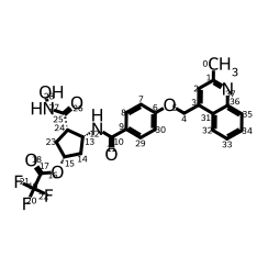 Cc1cc(COc2ccc(C(=O)N[C@@H]3C[C@H](OC(=O)C(F)(F)F)C[C@@H]3C(=O)NO)cc2)c2ccccc2n1